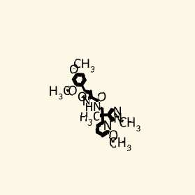 COc1ccc(-c2cc(C(=O)NCC(C)(c3cnn(C)c3)c3cccc(OC)n3)no2)c(OC)c1